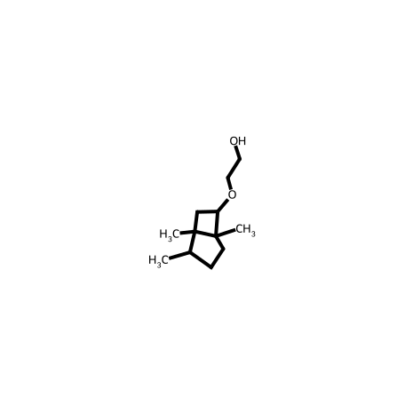 CC1CCC2(C)C(OCCO)CC12C